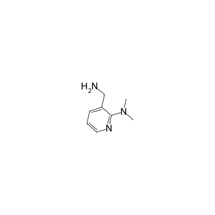 CN(C)c1ncccc1CN